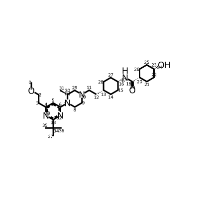 COCCc1cc(N2CCN(CC[C@H]3CC[C@@H](NC(=O)[C@H]4CC[C@@H](O)CC4)CC3)C[C@@H]2C)nc(C(C)(C)C)n1